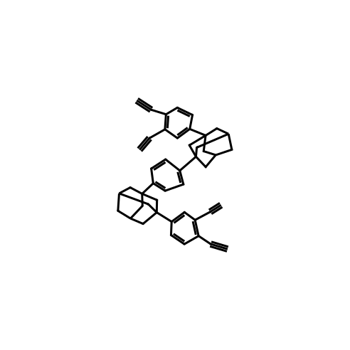 C#Cc1ccc(C23CC4CC(CC(c5ccc(C67CC8CC(C6)CC(c6ccc(C#C)c(C#C)c6)(C8)C7)cc5)(C4)C2)C3)cc1C#C